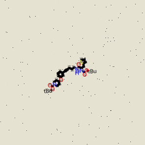 CC(C)(C)OC(=O)NC(Cc1cccs1)C(=O)NCCCC#Cc1cccc(OC2CCN(C(=O)OC(C)(C)C)CC2)c1